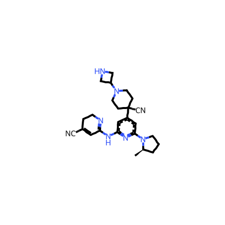 C[C@@H]1CCCN1c1cc(C2(C#N)CCN(C3CNC3)CC2)cc(NC2=NCCC(C#N)=C2)n1